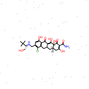 CC(C)(C)[C@@H](CO)NCc1cc(O)c2c(c1Cl)CC1C[C@H]3CC(O)=C(C(N)=O)C(=O)[C@@]3(O)C(O)=C1C2=O